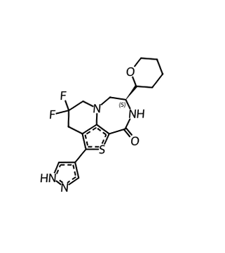 O=C1N[C@H](C2CCCCO2)CN2CC(F)(F)Cc3c(-c4cn[nH]c4)sc1c32